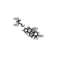 CC(C)(O)[C@H](O)CCC[C@H]1CC[C@@]2(C)[C@H]3CC=C4[C@@H](CC[C@H](O)C4(C)C)[C@]3(C)[C@H](O)C[C@]12C